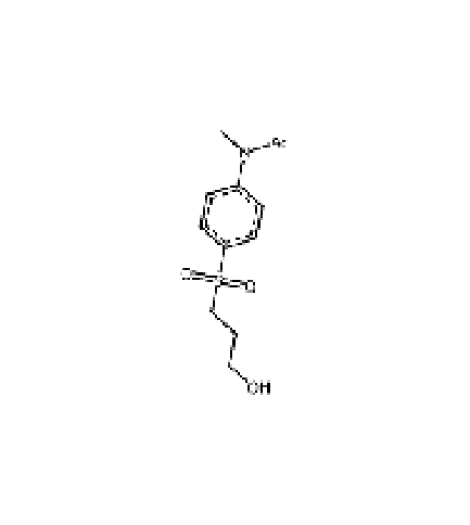 CC(=O)N(C)c1ccc(S(=O)(=O)CCCO)cc1